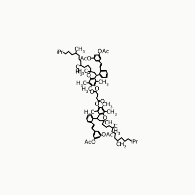 CC(=O)Oc1cc(/C=C/c2ccccc2C2CC(C)(CCCC(C)CCCC(C)CCCC(C)C)Oc3c(C)c(C)c(OC(=O)CCC(=O)Oc4c(C)c(C)c5c(c4C)C(c4ccccc4/C=C/c4cc(OC(C)=O)cc(OC(C)=O)c4)CC(C)(CCCC(C)CCCC(C)CCCC(C)C)O5)c(C)c32)cc(OC(C)=O)c1